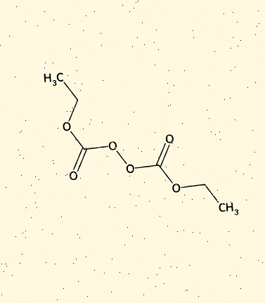 CCOC(=O)OOC(=O)OCC